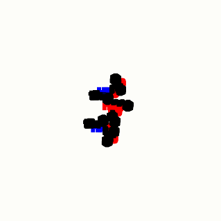 CC(C)(C)c1ccc(CC[C@@H](CC2CCCCC2)OP(=O)(O)O[C@@H](CCc2ccc(C(C)(C)C)c(NC(=O)CC3c4ccccc4Oc4ccccc43)c2)CC2CCCCC2)cc1NC(=O)CC1c2ccccc2Oc2ccccc21